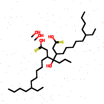 CCCCC(CC)CCCCCC(CC(O)=S)C(O)(CCC)C(CCCCCC(CC)CCCC)CC(O)=S.CO.CO